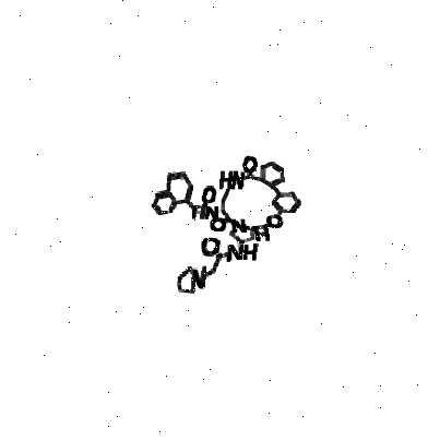 O=C(CN1CCCC1)N[C@H]1C[C@H]2COc3cccc(c3)-c3ccccc3C(=O)NCC[C@@H](NC(=O)Cc3cccc4ccccc34)C(=O)N2C1